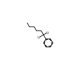 [Li][C]([Li])(CCCCC)c1ccccc1